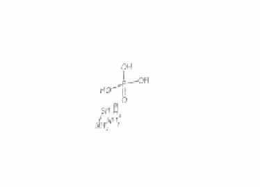 N.N.NS.O=P(O)(O)O